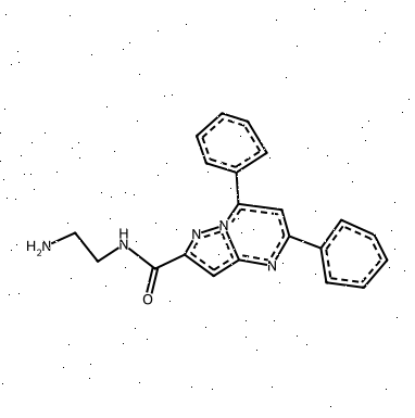 NCCNC(=O)c1cc2nc(-c3ccccc3)cc(-c3ccccc3)n2n1